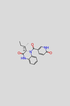 CC[C@H](C)[C@H]1C(=O)Nc2ccccc2N1C(=O)c1ccc(=O)[nH]c1